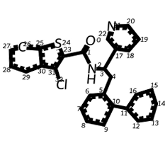 O=C(NC(Cc1ccccc1-c1ccccc1)c1cccnc1)c1sc2ccccc2c1Cl